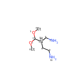 CCOC(OCC)[SiH](CN)CCN